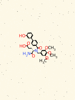 COc1cc(CN(C(=O)c2ccc(-c3cccc(O)c3)cc2)[C@@H](CCC(=O)O)C(N)=O)cc(OC)c1OC